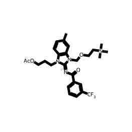 CC(=O)OCCCn1/c(=N/C(=O)c2cccc(C(F)(F)F)c2)n(COCCS(C)(C)C)c2cc(C)ccc21